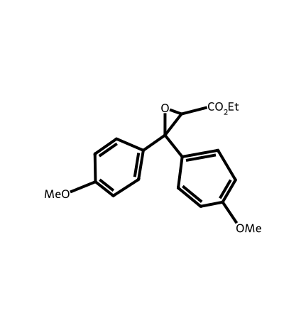 CCOC(=O)C1OC1(c1ccc(OC)cc1)c1ccc(OC)cc1